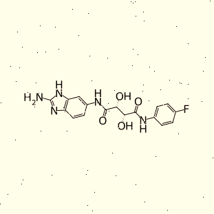 Nc1nc2ccc(NC(=O)[C@H](O)[C@@H](O)C(=O)Nc3ccc(F)cc3)cc2[nH]1